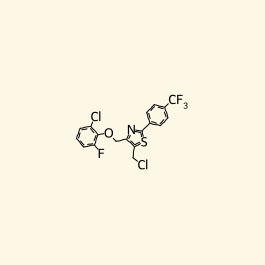 Fc1cccc(Cl)c1OCc1nc(-c2ccc(C(F)(F)F)cc2)sc1CCl